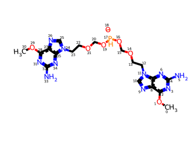 COc1nc(N)nc2c1ncn2CCOCO[PH](=O)OCOCCn1cnc2c(OC)nc(N)nc21